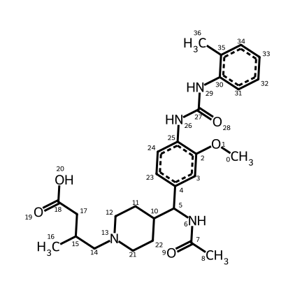 COc1cc(C(NC(C)=O)C2CCN(CC(C)CC(=O)O)CC2)ccc1NC(=O)Nc1ccccc1C